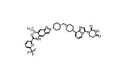 COc1cc2nn([C@H]3CC[C@H](CN4CCC(c5cccn6c(N7CCC(=O)NC7=O)cnc56)CC4)CC3)cc2cc1NC(=O)c1cccc(C(F)(F)F)n1